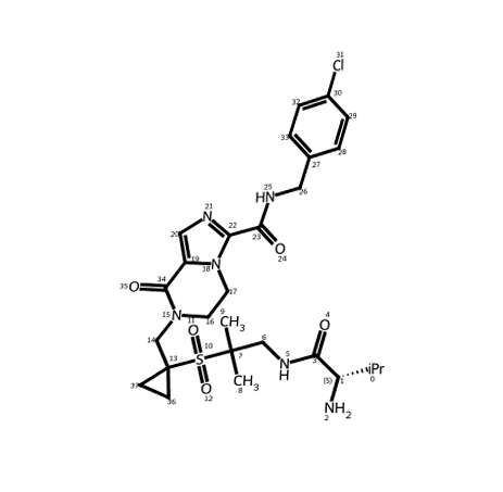 CC(C)[C@H](N)C(=O)NCC(C)(C)S(=O)(=O)C1(CN2CCn3c(cnc3C(=O)NCc3ccc(Cl)cc3)C2=O)CC1